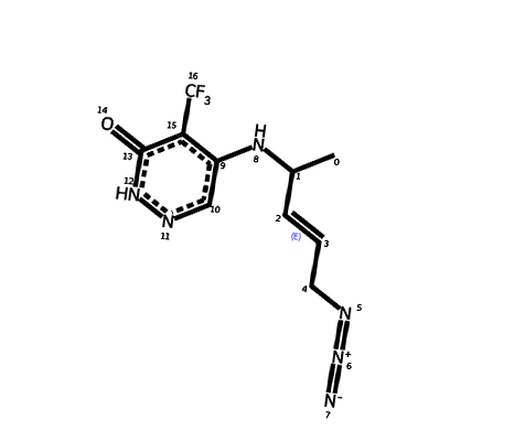 CC(/C=C/CN=[N+]=[N-])Nc1cn[nH]c(=O)c1C(F)(F)F